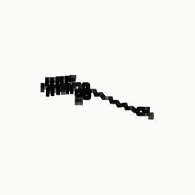 CCCCCCCCCCCCCC(=O)OC(O)CC(F)(F)C(F)(F)C(F)(F)C(F)(F)C(F)(F)C(F)(F)F